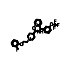 O=C(NC(c1cccc(OC(F)(F)F)c1)c1ccccn1)C1CCN(CCOc2ccccc2F)CC1